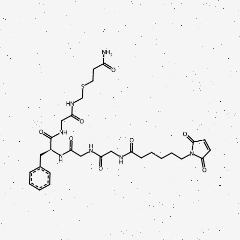 NC(=O)CCSCNC(=O)CNC(=O)[C@H](Cc1ccccc1)NC(=O)CNC(=O)CNC(=O)CCCCCN1C(=O)C=CC1=O